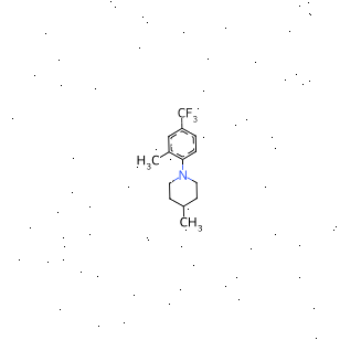 Cc1cc(C(F)(F)F)ccc1N1CCC(C)CC1